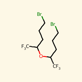 FC(F)(F)C(CCCBr)OC(CCCBr)C(F)(F)F